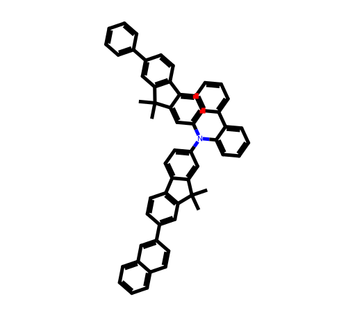 CC1(C)c2cc(-c3ccccc3)ccc2-c2ccc(N(c3ccc4c(c3)C(C)(C)c3cc(-c5ccc6ccccc6c5)ccc3-4)c3ccccc3-c3ccccc3)cc21